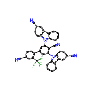 N#Cc1ccc(-c2cc(-n3c4ccccc4c4cc(C#N)ccc43)c(C#N)c(-n3c4ccccc4c4cc(C#N)ccc43)c2)c(C(F)(F)F)c1